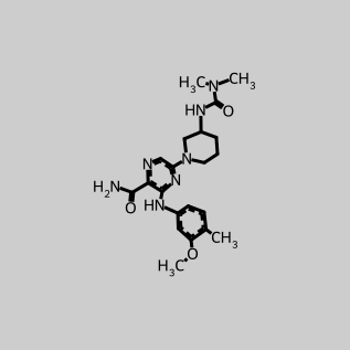 COc1cc(Nc2nc(N3CCCC(NC(=O)N(C)C)C3)cnc2C(N)=O)ccc1C